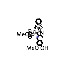 COS(=O)(=O)[O-].COc1cc(/C=C2/C(=O)N(c3sc4ccccc4[n+]3C)N=C2C)ccc1O